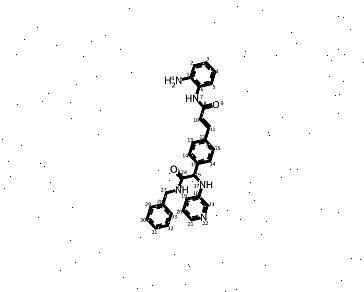 Nc1ccccc1NC(=O)C=Cc1ccc(C(Nc2cccnc2)C(=O)NCc2ccccc2)cc1